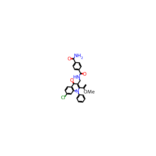 C=C(OC)c1c(CNC(=O)c2ccc(C(N)=O)cc2)c(=O)c2ccc(Cl)cc2n1-c1ccccc1